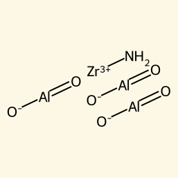 [NH2][Zr+3].[O]=[Al][O-].[O]=[Al][O-].[O]=[Al][O-]